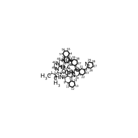 CCC(C)C(C(=O)NC(Cc1ccccc1)C(O)CN(Cc1ccc(-c2ccccn2)cc1)NC(=O)c1cccc(O)c1C)N1CCN(Cc2ccnc3ccccc23)C1=O